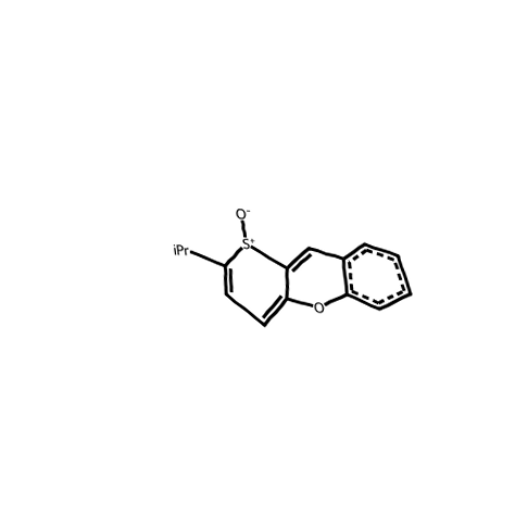 CC(C)C1=CC=C2Oc3ccccc3C=C2[S+]1[O-]